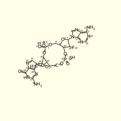 B[P@@]1(=O)OCC2OC(n3cnc4c(N)ncnc43)C(F)C2O[P@](=O)(S)OCC2OC(n3cnc4c(=O)[nH]c(N)nc43)C(O1)C2OC